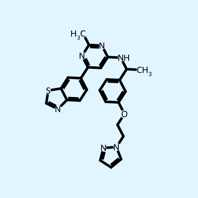 Cc1nc(NC(C)c2cccc(OCCn3cccn3)c2)cc(-c2ccc3ncsc3c2)n1